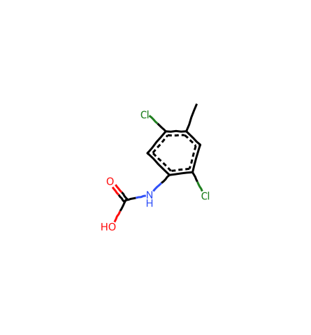 Cc1cc(Cl)c(NC(=O)O)cc1Cl